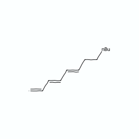 [CH]=CC=CC=CCCCCCC